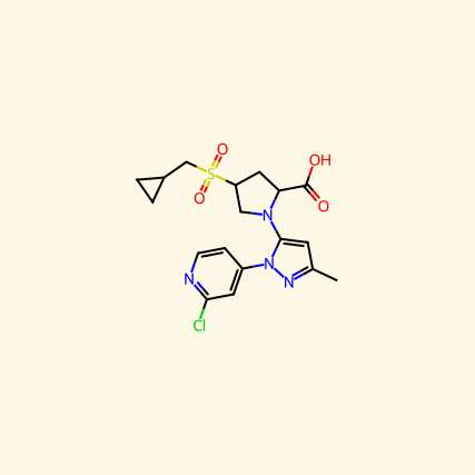 Cc1cc(N2CC(S(=O)(=O)CC3CC3)CC2C(=O)O)n(-c2ccnc(Cl)c2)n1